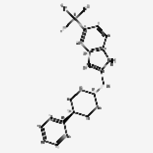 FC(F)(F)c1ccc2[nH]c(C[C@H]3CC[C@H](c4ccccc4)CC3)nc2c1